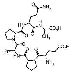 CC(C)[C@H](NC(=O)[C@@H]1CCCN1C(=O)[C@@H](N)CCC(=O)O)C(=O)N1CCC[C@H]1C(=O)N[C@@H](CCC(N)=O)C(=O)N[C@@H](C)C(=O)O